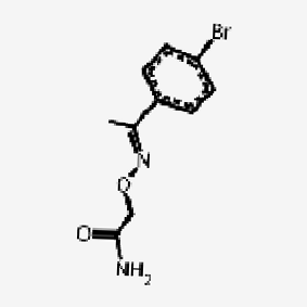 CC(=NOCC(N)=O)c1ccc(Br)cc1